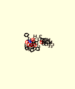 C/C=C(/C)[C@@H](C/C=C(\C)[C@@H](O[Si](c1ccccc1)(c1ccccc1)C(C)(C)C)[C@H](OCc1ccccc1)C(=O)N1C(=O)OC[C@@H]1Cc1ccccc1)O[Si](C)(C)C(C)(C)C